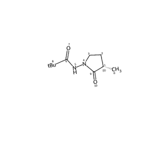 C[C@H]1CCN(NC(=O)C(C)(C)C)C1=O